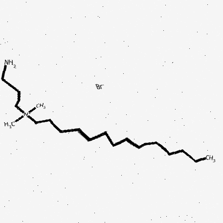 CCCCCCCCCCCCCC[N+](C)(C)CCCN.[Br-]